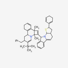 CC(C)CC1CC2C3=C(C=CCC3)C3(C)C=C(C4c5ccccc5C5=CCC6CC(C7=CCCC=C7)SC6N54)C3(C)N2C=C1[Si](C)(C)C